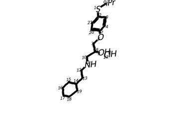 CC(C)Sc1ccc(OCC(O)CNCCC2CCCCC2)cc1.Cl